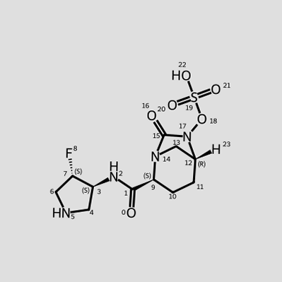 O=C(N[C@H]1CNC[C@@H]1F)[C@@H]1CC[C@@H]2CN1C(=O)N2OS(=O)(=O)O